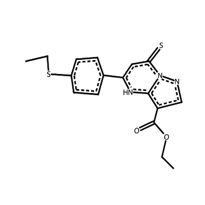 CCOC(=O)c1cnn2c(=S)cc(-c3ccc(SCC)cc3)[nH]c12